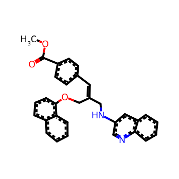 COC(=O)c1ccc(C=C(CNc2cnc3ccccc3c2)COc2cccc3ccccc23)cc1